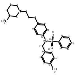 CC1CCCN(CCCc2ccc(N(Cc3ccc(O)cc3)S(=O)(=O)c3ccccc3)cc2)C1